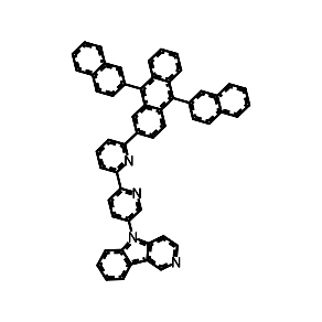 c1cc(-c2ccc3c(-c4ccc5ccccc5c4)c4ccccc4c(-c4ccc5ccccc5c4)c3c2)nc(-c2ccc(-n3c4ccccc4c4cnccc43)cn2)c1